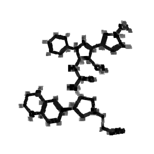 COCCN1C[C@@H](NC(=O)Nc2c(C)c(-c3cnn(C)c3)nn2-c2ccccc2)[C@H](c2ccc3c(c2)OCCO3)C1